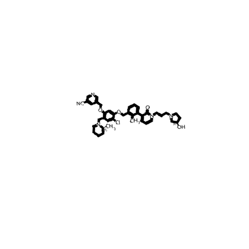 Cc1c(COc2cc(OCc3cncc(C#N)c3)c(CN3CCCC[C@H]3C)cc2Cl)cccc1-c1cccn(CCCN2CC[C@@H](O)C2)c1=O